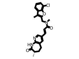 Cc1c(CN(C)C(=O)/C=C/c2cnc3c(c2)CC[C@H](C)C(=O)N3)oc2c(Cl)cccc12